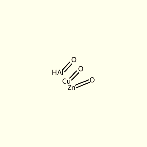 [O]=[AlH].[O]=[Cu].[O]=[Zn]